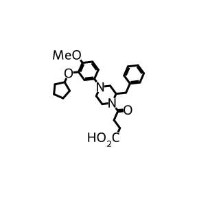 COc1ccc(N2CCN(C(=O)CCC(=O)O)C(Cc3ccccc3)C2)cc1OC1CCCC1